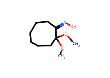 COC1(OC)CCCCCCC1=NO